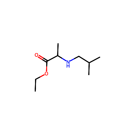 CCOC(=O)C(C)NCC(C)C